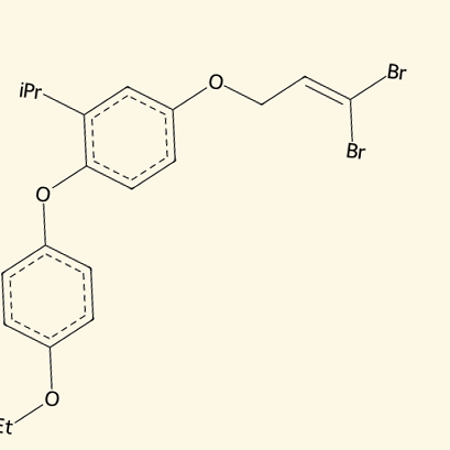 CCOc1ccc(Oc2ccc(OCC=C(Br)Br)cc2C(C)C)cc1